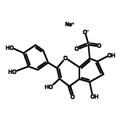 O=c1c(O)c(-c2ccc(O)c(O)c2)oc2c(S(=O)(=O)[O-])c(O)cc(O)c12.[Na+]